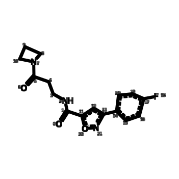 O=C(NCCC(=O)N1CCC1)c1cc(-c2ccc(F)cc2)no1